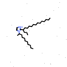 CCCCCCCCCCCCCC(CCC)c1[nH]cc[n+]1C(C)CCCCCCCCC